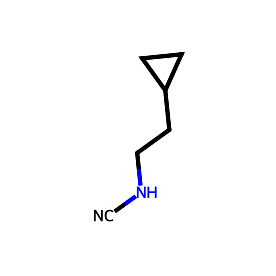 N#CNCCC1CC1